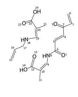 C=CC(=O)C=CC(=O)NC=C(C)C(=O)O.C=CCNC=C(C)C(=O)O